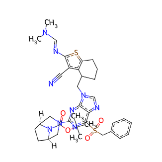 CN(C)/C=N/c1sc2c(c1C#N)C(Cn1cnc3c(S(=O)(=O)Cc4ccccc4)nc(N4C[C@H]5CC[C@@H](C4)N5C(=O)OC(C)(C)C)nc31)CCC2